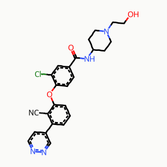 N#Cc1c(Oc2ccc(C(=O)NC3CCN(CCO)CC3)cc2Cl)cccc1-c1ccnnc1